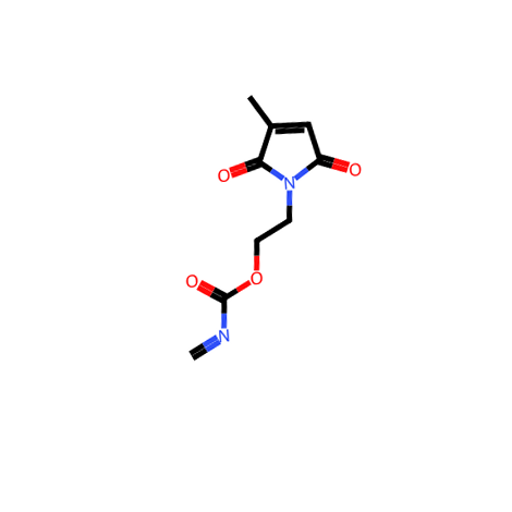 C=NC(=O)OCCN1C(=O)C=C(C)C1=O